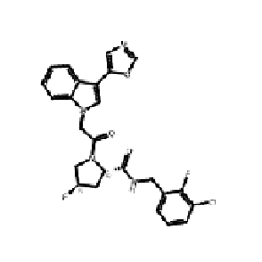 O=C(NCc1cccc(Cl)c1F)[C@@H]1C[C@@H](F)CN1C(=O)Cn1cc(-c2cnco2)c2ccccc21